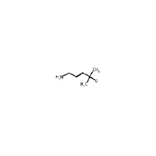 CC(C)([O])CCCN